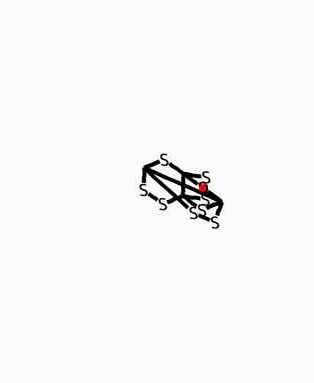 S1SC23SSC45SSC4(SSC12S5)S3